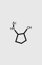 CC(=O)NC1CCCC1O